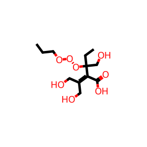 CCCOOOC(CC)(CO)C(C(=O)O)=C(CO)CO